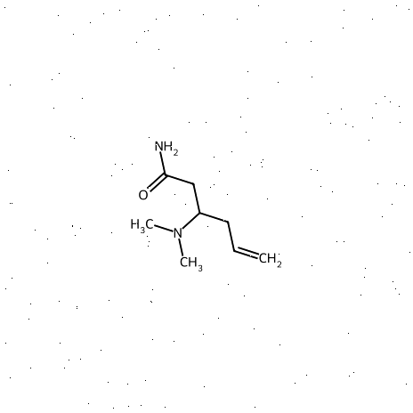 C=CCC(CC(N)=O)N(C)C